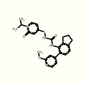 COc1cc(-c2ccc3c(c2NC(=O)NSc2ccn(C(C)C)c(=O)c2)CCC3)ccn1